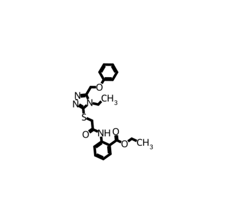 CCOC(=O)c1ccccc1NC(=O)CSc1nnc(COc2ccccc2)n1CC